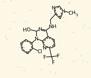 Cn1cnc(CNC2=NC(O)N(c3ccccc3Cl)c3nc(C(F)(F)F)ccc32)c1